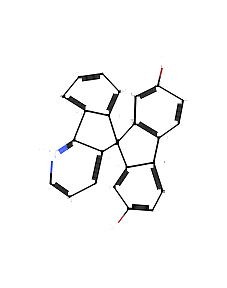 Brc1ccc2c(c1)C1(c3cc(Br)ccc3-2)c2ccccc2-c2ncccc21